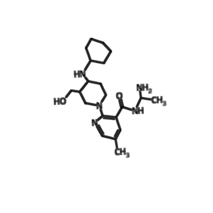 Cc1cnc(N2CCC(NC3CCCCC3)C(CO)C2)c(C(=O)NC(C)N)c1